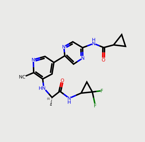 C[C@H](Nc1cc(-c2cnc(NC(=O)C3CC3)cn2)cnc1C#N)C(=O)NC1CC1(F)F